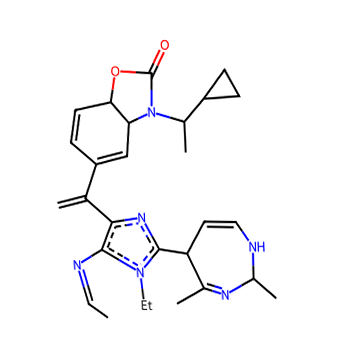 C=C(C1=CC2C(C=C1)OC(=O)N2C(C)C1CC1)c1nc(C2C=CNC(C)N=C2C)n(CC)c1/N=C\C